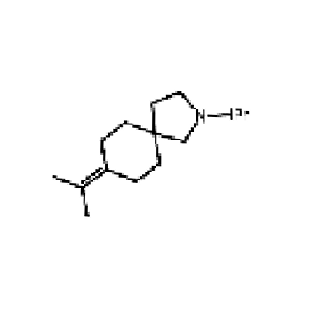 CC(C)=C1CCC2(CC1)CCN(C(C)C)C2